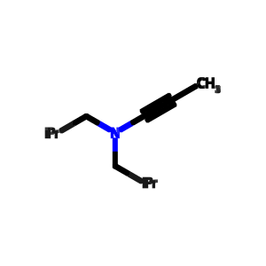 CC#CN(CC(C)C)CC(C)C